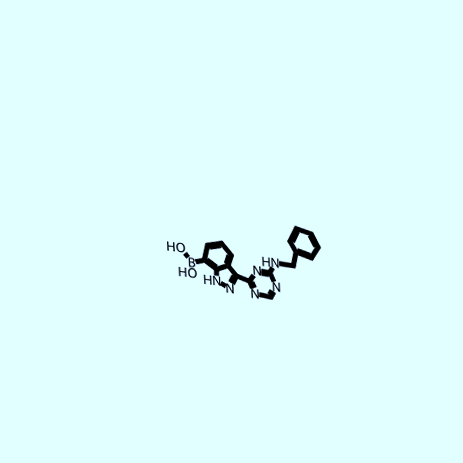 OB(O)c1cccc2c(-c3ncnc(NCc4ccccc4)n3)n[nH]c12